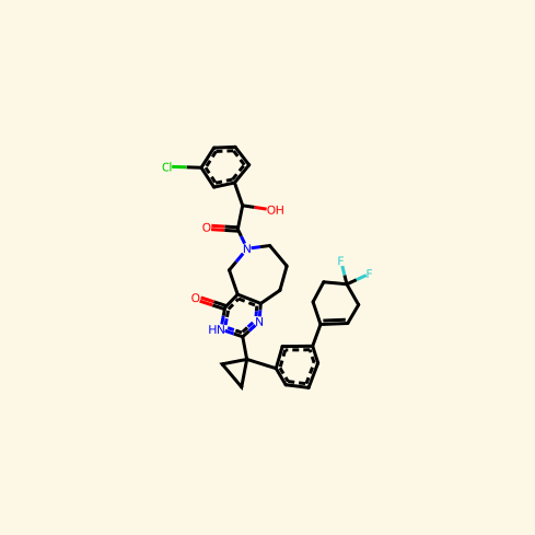 O=C(C(O)c1cccc(Cl)c1)N1CCCc2nc(C3(c4cccc(C5=CCC(F)(F)CC5)c4)CC3)[nH]c(=O)c2C1